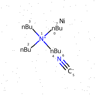 CCCC[N+](CCCC)(CCCC)CCCC.[C-]#N.[Ni]